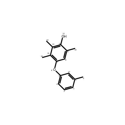 Cc1cccc(Oc2cc(C)c(O)c(C)c2C)c1